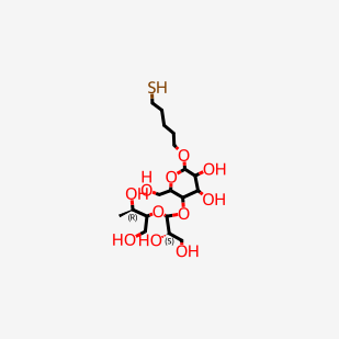 C[C@@H](O)C(CO)OC(OC1C(CO)OC(OCCCCCS)C(O)C1O)[C@@H](O)CO